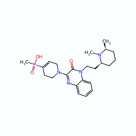 C[C@H]1CCC[C@@H](CCn2c(=O)c(N3CC=C(P(C)(=O)O)CC3)nc3ccccc32)N1C